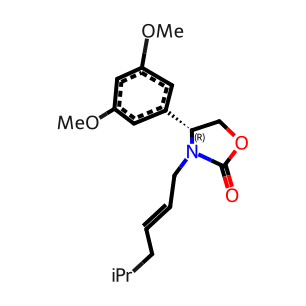 COc1cc(OC)cc([C@@H]2COC(=O)N2CC=CCC(C)C)c1